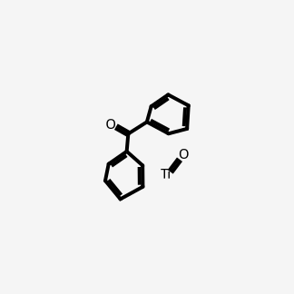 O=C(c1ccccc1)c1ccccc1.[O]=[Ti]